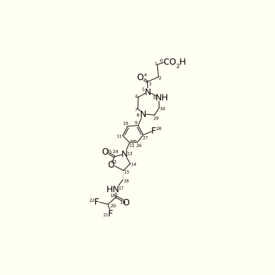 O=C(O)CCC(=O)N1CCN(c2ccc(N3C[C@H](CNC(=O)C(F)F)OC3=O)cc2F)CCN1